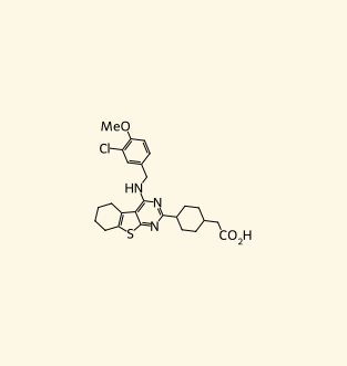 COc1ccc(CNc2nc(C3CCC(CC(=O)O)CC3)nc3sc4c(c23)CCCC4)cc1Cl